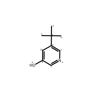 CC(C)(C)c1cncc(O)c1